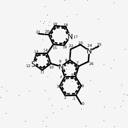 Cc1ccc2c(c1)c1c(n2-c2cscc2-c2cnccc2C)CCN(C)C1